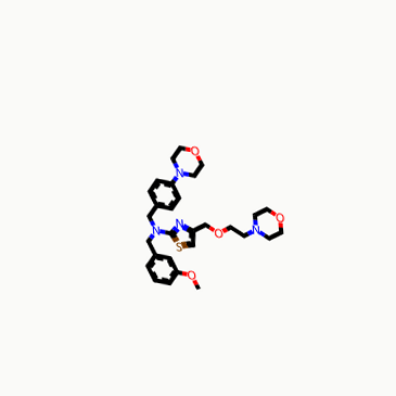 COc1cccc(CN(Cc2ccc(N3CCOCC3)cc2)c2nc(COCCN3CCOCC3)cs2)c1